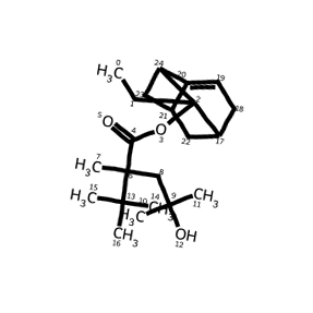 CCC1(OC(=O)C(C)(CC(C)(C)O)C(C)(C)C)C2CC=C3C(C2)CC31